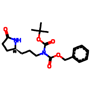 CC(C)(C)OC(=O)N(CCC[C@@H]1CCC(=O)N1)C(=O)OCc1ccccc1